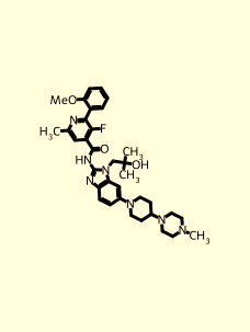 COc1ccccc1-c1nc(C)cc(C(=O)Nc2nc3ccc(N4CCC(N5CCN(C)CC5)CC4)cc3n2CC(C)(C)O)c1F